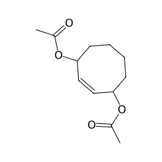 CC(=O)OC1C=CC(OC(C)=O)CCCC1